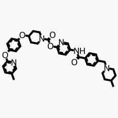 Cc1ccc(Oc2ccc(OC3CCN(C(=O)Oc4ccc(NC(=O)c5ccc(CN6CCC(C)CC6)cc5)cn4)CC3)cc2)nc1